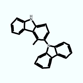 Cc1c(-n2c3ccccc3c3ccccc32)ccc2[nH]c3ccccc3c12